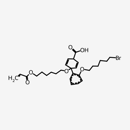 C=CC(=O)OCCCCCCOC1(c2ccccc2OCCCCCCBr)C=CC(C(=O)O)C=C1